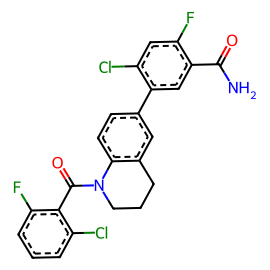 NC(=O)c1cc(-c2ccc3c(c2)CCCN3C(=O)c2c(F)cccc2Cl)c(Cl)cc1F